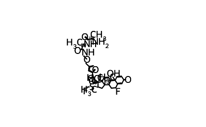 CC1CC2C3CC(F)C4=CC(=O)C=CC4(C)C3(F)C(O)CC2(C)C1(OC(=O)c1cc(COCNC(=O)[C@H](C)NC(=O)[C@H](C)N)co1)C(=O)SCF